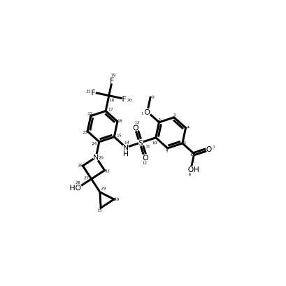 COc1ccc(C(=O)O)cc1S(=O)(=O)Nc1cc(C(F)(F)F)ccc1N1CC(O)(C2CC2)C1